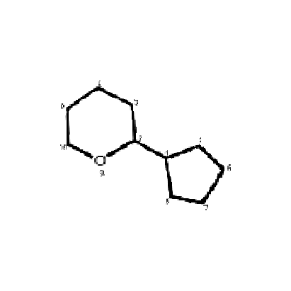 C1CCC([C]2CCCC2)OC1